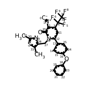 [C-]#[N+]c1c(C(F)(F)C(F)(F)F)cc(-c2ccc(Oc3ccccc3)cc2)n(Cc2nc(C)sc2C)c1=O